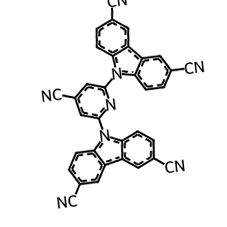 N#Cc1cc(-n2c3ccc(C#N)cc3c3cc(C#N)ccc32)nc(-n2c3ccc(C#N)cc3c3cc(C#N)ccc32)c1